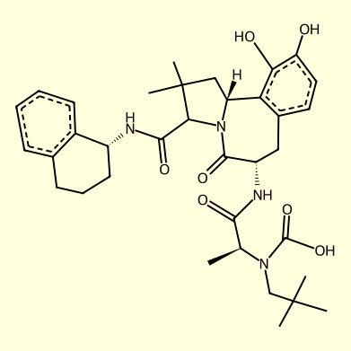 C[C@@H](C(=O)N[C@H]1Cc2ccc(O)c(O)c2[C@H]2CC(C)(C)C(C(=O)N[C@@H]3CCCc4ccccc43)N2C1=O)N(CC(C)(C)C)C(=O)O